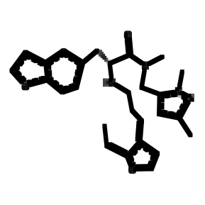 C/C=c1/occ/c1=C/CCN[C@H](Cc1ccc2occc2c1)C(=O)N(C)Cc1cc(C)nn1C